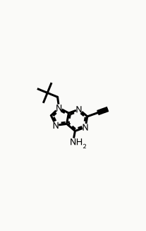 C#Cc1nc(N)c2ncn(CC(C)(C)C)c2n1